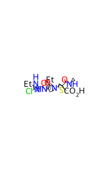 CCO[C@H]1CN(c2cc(C(=O)NC3CC3)c(C(=O)O)s2)CC[C@H]1NC(=O)c1nc(Cl)c(CC)[nH]1